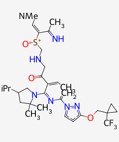 C=C(/N=C(\C(=C/C)C(=O)CNC[S+]([O-])/C(=C/NC)C(C)=N)N1CC(C(C)C)CC1(C)C)n1ccc(OCC2(C(F)(F)F)CC2)n1